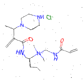 C=CC(=O)NC[N+](C)(C)C(CC)NC(=O)C(=C)C(C)N1CCNCC1.[Cl-]